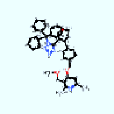 COCc1c(OCc2ccc(-c3ccccc3-c3nnnn3C(c3ccccc3)(c3ccccc3)c3ccccc3)cc2)cc(C)nc1C